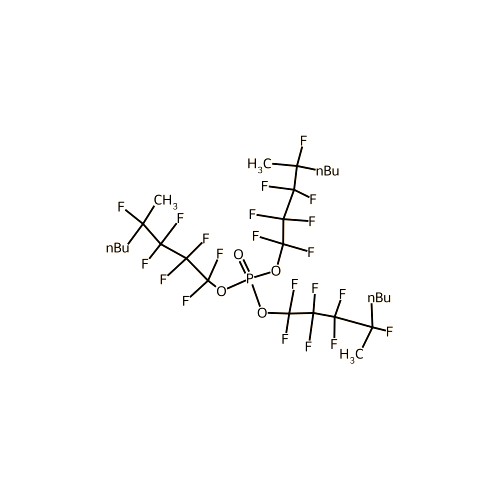 CCCCC(C)(F)C(F)(F)C(F)(F)C(F)(F)OP(=O)(OC(F)(F)C(F)(F)C(F)(F)C(C)(F)CCCC)OC(F)(F)C(F)(F)C(F)(F)C(C)(F)CCCC